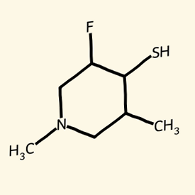 CC1CN(C)CC(F)C1S